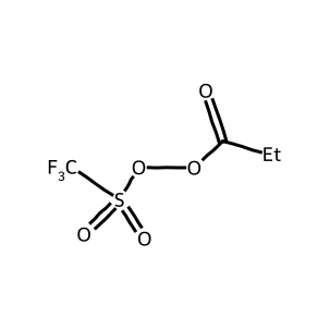 CCC(=O)OOS(=O)(=O)C(F)(F)F